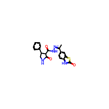 C/C(=N/NC(=O)C1C(=O)NCC1c1ccccc1)c1ccc2[nH]c(=O)sc2c1